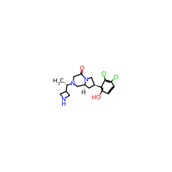 C[C@@H](C1CNC1)N1CC(=O)N2C[C@@H](c3c(O)ccc(Cl)c3Cl)C[C@H]2C1